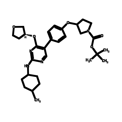 CC1CCC(Nc2ncc(-c3ccc(OC4CCN(C(=O)OC(C)(C)C)C4)cc3)c(O[C@@H]3CCOC3)n2)CC1